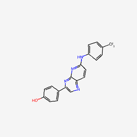 Oc1ccc(-c2cnc3ccc(Nc4ccc(C(F)(F)F)cc4)nc3n2)cc1